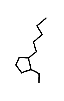 [CH2]CCCCC1CCCC1CC